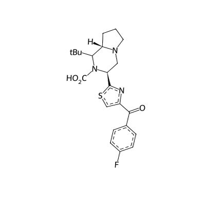 CC(C)(C)C1[C@@H]2CCCN2C[C@@H](c2nc(C(=O)c3ccc(F)cc3)cs2)N1C(=O)O